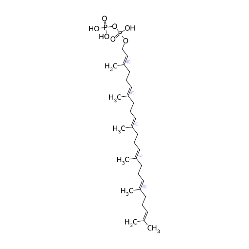 CC(C)=CCC/C(C)=C/CC/C(C)=C/CC/C(C)=C/CC/C(C)=C/CC/C(C)=C/COP(=O)(O)OP(=O)(O)O